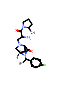 CC(C)C(c1ccc(F)cc1)N1C(=O)C2C[C@H]1CN2CC(N)C(=O)N1CCCC1C#N